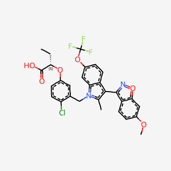 CC[C@H](Oc1ccc(Cl)c(Cn2c(C)c(-c3noc4cc(OC)ccc34)c3ccc(OC(F)(F)F)cc32)c1)C(=O)O